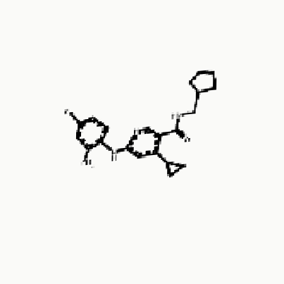 Cc1cc(Cl)ccc1Nc1cc(C2CC2)c(C(=O)NCC2CCCC2)cn1